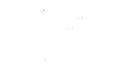 COc1ccc(OC)c(C(=O)C=Cc2ccc(N(C)C)cc2)c1